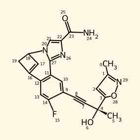 Cc1cc([C@](C)(O)C#Cc2cc3c(cc2F)C2=CC(C2)n2cc(C(N)=O)nc2-3)on1